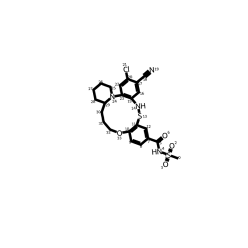 CS(=O)(=O)NC(=O)c1ccc2c(c1)SNc1cc(C#N)c(Cl)cc1N1CCCCC1CCCO2